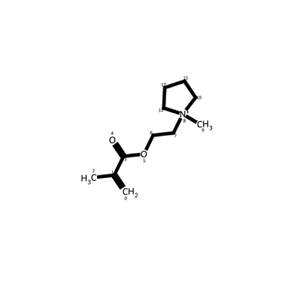 C=C(C)C(=O)OCC[N+]1(C)CCCC1